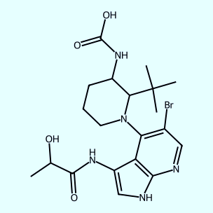 CC(O)C(=O)Nc1c[nH]c2ncc(Br)c(N3CCCC(NC(=O)O)C3C(C)(C)C)c12